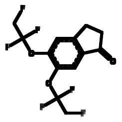 O=C1CCc2cc(OC(F)(F)CF)c(OC(F)(F)CF)cc21